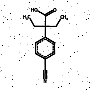 CCC(CC)(C(=O)O)c1ccc(C#N)cc1